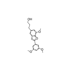 COc1cc(OC)cc(-c2cc3cc(CCCO)cc(OC)c3o2)c1